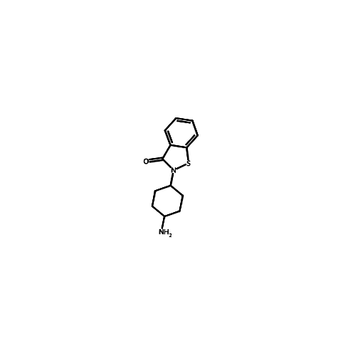 NC1CCC(n2sc3ccccc3c2=O)CC1